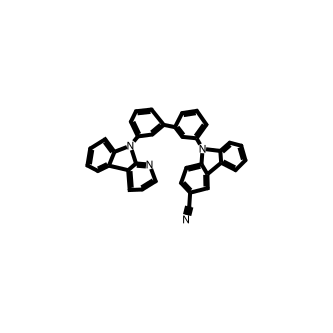 N#Cc1ccc2c(c1)c1ccccc1n2-c1cccc(-c2cccc(-n3c4ccccc4c4cccnc43)c2)c1